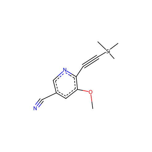 COc1cc(C#N)cnc1C#C[Si](C)(C)C